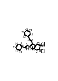 Clc1cc2[nH]c(/C=C/c3ccccc3)c(/C=C/c3ccccc3)c2cc1Cl